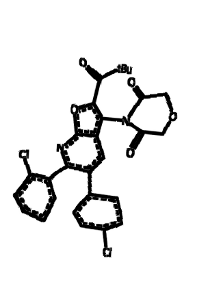 CC(C)(C)C(=O)c1oc2nc(-c3ccccc3Cl)c(-c3ccc(Cl)cc3)cc2c1N1C(=O)COCC1=O